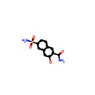 NC(=O)c1cc2ccc(S(N)(=O)=O)cc2cc1[O]